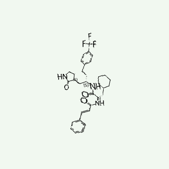 O=C(C=Cc1ccccc1)N[C@@H](CC1CCCCC1)C(=O)N[C@@H](CCc1ccc(C(F)(F)F)cc1)C[C@@H]1CCNC1=O